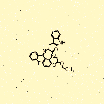 CCOC(=O)C=[N+]1C(=O)[C@@H](Cc2c[nH]c3ccccc23)N=C(c2ccccc2F)c2ccccc21